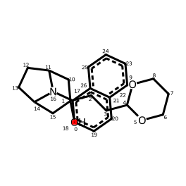 OC1(CCC2OCCCO2)CC2CCC(C1)N2c1cccc2ccccc12